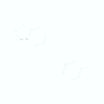 Cc1cccc(C#Cc2ccc3ncn(C)c3c2)n1